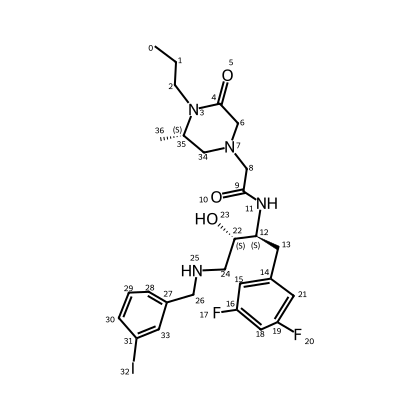 CCCN1C(=O)CN(CC(=O)N[C@@H](Cc2cc(F)cc(F)c2)[C@@H](O)CNCc2cccc(I)c2)C[C@@H]1C